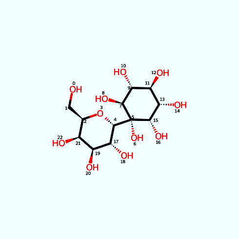 OC[C@H]1O[C@H]([C@@]2(O)[C@@H](O)[C@H](O)[C@@H](O)[C@H](O)[C@@H]2O)[C@H](O)[C@@H](O)[C@H]1O